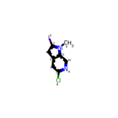 Cn1c(I)cc2cc(Cl)ncc21